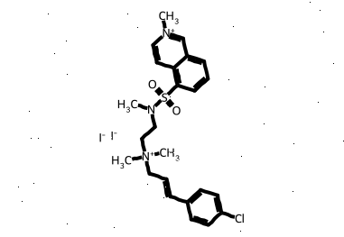 CN(CC[N+](C)(C)CC=Cc1ccc(Cl)cc1)S(=O)(=O)c1cccc2c[n+](C)ccc12.[I-].[I-]